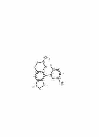 CN1CCc2cc3c(c4c2C1Cc1ccc(O)cc1-4)OCO3